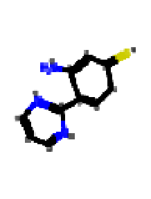 NC1=CC(=S)CC=C1c1ncccn1